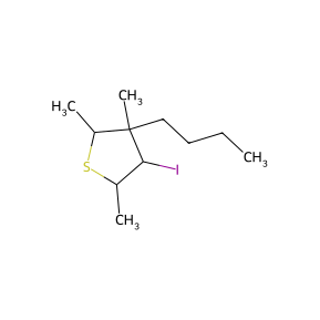 CCCCC1(C)C(C)SC(C)C1I